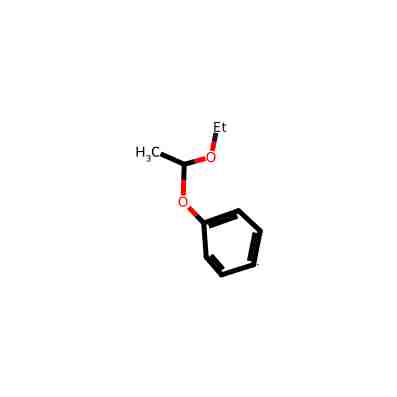 CCOC(C)Oc1cc[c]cc1